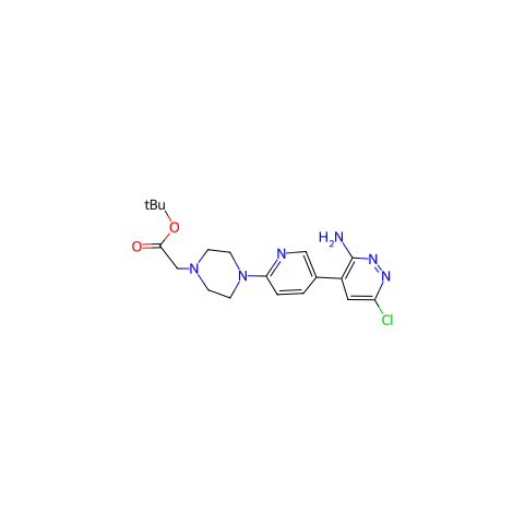 CC(C)(C)OC(=O)CN1CCN(c2ccc(-c3cc(Cl)nnc3N)cn2)CC1